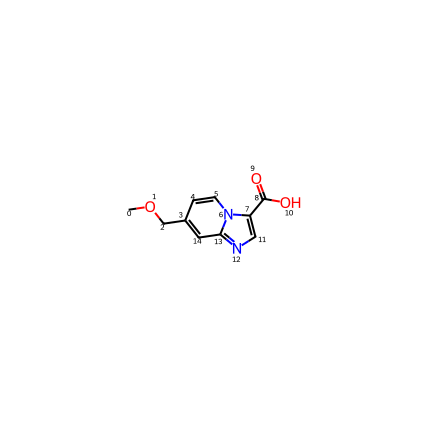 COCc1ccn2c(C(=O)O)cnc2c1